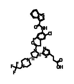 O=C(O)CCc1cnc([C@@H]2C[C@H](N3CCN(CC(F)(F)F)CC3)CN2C(=O)Cc2cc(Cl)c(NC(=O)c3csc4ccccc34)cc2F)s1